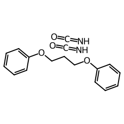 N=C=O.N=C=O.c1ccc(OCCCOc2ccccc2)cc1